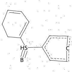 B#[SH](C1=CC=CCC1)c1ccccc1